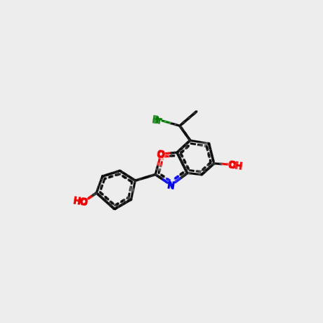 CC(Br)c1cc(O)cc2nc(-c3ccc(O)cc3)oc12